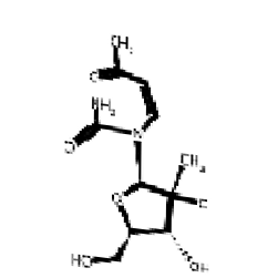 CC(=O)/C=C\N(C(N)=O)[C@@H]1O[C@H](CO)[C@@H](O)[C@@]1(C)Cl